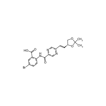 CC1(C)OC[C@H](/C=C/c2cnc(C(=O)Nc3ccc(Br)cc3C(=O)O)cn2)O1